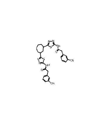 N#Cc1cccc(CC(=O)Nc2nnc(C3CCCCC(c4nnc(NC(=O)Cc5cccc(C#N)c5)s4)C3)s2)c1